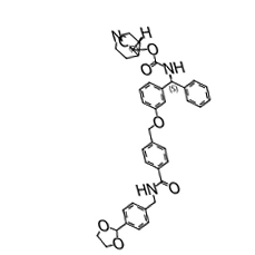 O=C(N[C@@H](c1ccccc1)c1cccc(OCc2ccc(C(=O)NCc3ccc(C4OCCO4)cc3)cc2)c1)O[C@H]1CN2CCC1CC2